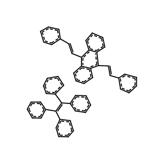 C(=Cc1c2ccccc2c(C=Cc2ccccc2)c2ccccc12)c1ccccc1.c1ccc(C(=C(c2ccccc2)c2ccccc2)c2ccccc2)cc1